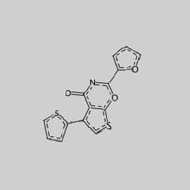 O=c1nc(-c2ccco2)oc2scc(-c3cccs3)c12